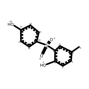 Cc1ccc(O)c(S(=O)(=O)c2ccc(O)cc2)c1